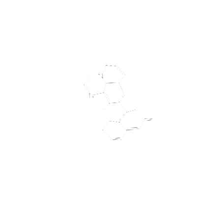 C=C/C=C1/C=CCC/C1=C(/C)C1=CC2C=CC=NC2C(/N=C\C)=C1C